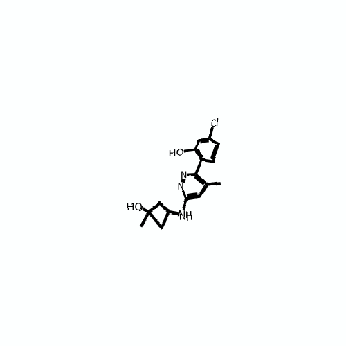 Cc1cc(NC2CC(C)(O)C2)nnc1-c1ccc(Cl)cc1O